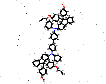 C=CCOc1ccc(C2(c3ccc(OC)cc3)c3ccccc3-c3ccc(N(c4ccccc4)c4ccc(-c5ccc(N(c6ccccc6)c6ccc7c(c6)C(c6ccc(OC)cc6)(c6ccc(OCC=C)cc6)c6ccccc6-7)cc5)cc4)cc32)cc1